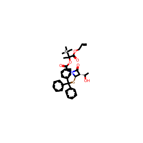 C=CCOC(=O)C(C)(OC(=O)CN1C(=O)[C@H](C(C)O)[C@H]1SC(c1ccccc1)(c1ccccc1)c1ccccc1)[Si](C)(C)C